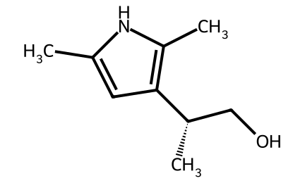 Cc1cc([C@@H](C)CO)c(C)[nH]1